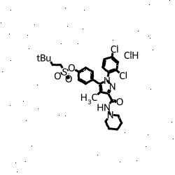 Cc1c(C(=O)NN2CCCCC2)nn(-c2ccc(Cl)cc2Cl)c1-c1ccc(OS(=O)(=O)CCC(C)(C)C)cc1.Cl